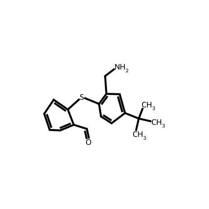 CC(C)(C)c1ccc(Sc2ccccc2C=O)c(CN)c1